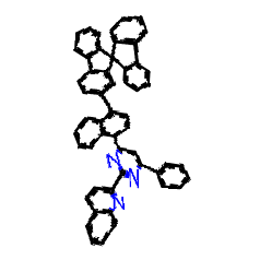 c1ccc(-c2cc(-c3ccc(-c4ccc5c(c4)C4(c6ccccc6-c6ccccc64)c4ccccc4-5)c4ccccc34)nc(-c3ccc4ccccc4n3)n2)cc1